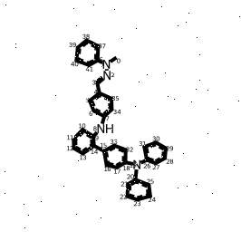 CN(N=Cc1ccc(Nc2ccccc2-c2ccc(N(c3ccccc3)c3ccccc3)cc2)cc1)c1ccccc1